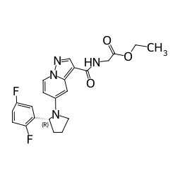 CCOC(=O)CNC(=O)c1cnn2ccc(N3CCC[C@@H]3c3cc(F)ccc3F)cc12